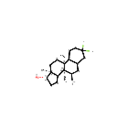 CC(C)C1CC2CC(F)(F)CC[C@]2(C)C2CC[C@@]3(C)C(CC[C@@H]3O)[C@H]12